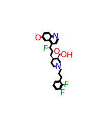 COc1ccc2nccc([C@@H](F)CC[C@@H]3CCN(CCCc4cccc(F)c4F)C[C@@H]3C(=O)O)c2c1